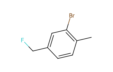 Cc1ccc(CF)cc1Br